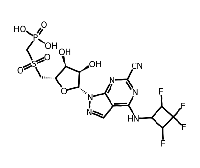 N#Cc1nc(NC2C(F)C(F)(F)C2F)c2cnn([C@@H]3O[C@H](CS(=O)(=O)CP(=O)(O)O)[C@@H](O)[C@H]3O)c2n1